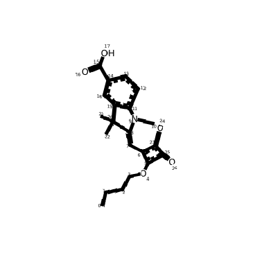 CCCCOc1c(C=C2N(C)c3ccc(C(=O)O)cc3C2(C)C)c(=O)c1=O